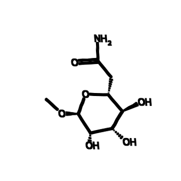 CO[C@H]1O[C@H](CC(N)=O)[C@@H](O)[C@H](O)[C@@H]1O